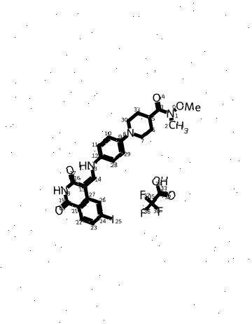 CON(C)C(=O)C1CCN(c2ccc(NC=C3C(=O)NC(=O)c4ccc(I)cc43)cc2)CC1.O=C(O)C(F)(F)F